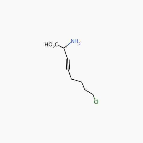 NC(C#CCCCCCl)C(=O)O